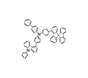 c1ccc(-c2ccc(N(c3ccc(-c4cccc5c4-c4ccccc4C54c5ccccc5-c5ccccc54)cc3)c3ccc(-c4cccc5c4c4ccccc4n5-c4ccccc4)cc3)cc2)cc1